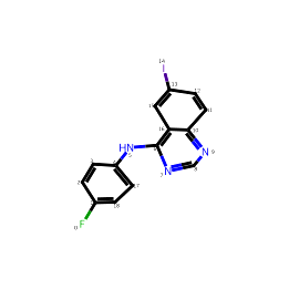 Fc1ccc(Nc2ncnc3ccc(I)cc23)cc1